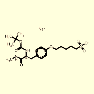 CNC(=O)[C@H](Cc1ccc(OCCCCCS(=O)(=O)[O-])cc1)NC(=O)OC(C)(C)C.[Na+]